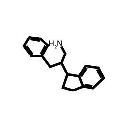 NCC(Cc1ccccc1)C1CCc2ccccc21